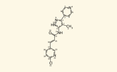 Cc1c(-c2ccncc2)n[nH]c1NC(=O)C=Cc1ccc(Cl)nc1